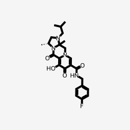 CC(C)CN1C[C@@H](C)N2C(=O)c3c(O)c(=O)c(C(=O)NCc4ccc(F)cc4)cn3CC12C